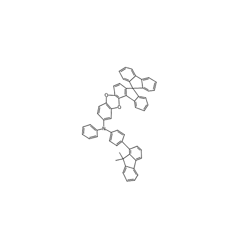 CC1(C)c2ccccc2-c2cccc(-c3ccc(N(c4ccccc4)c4ccc5c(c4)Oc4c(ccc6c4-c4ccccc4C64c6ccccc6-c6ccccc64)O5)cc3)c21